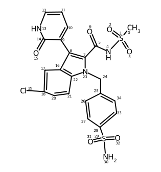 CS(=O)(=O)NC(=O)c1c(-c2ccc[nH]c2=O)c2cc(Cl)ccc2n1Cc1ccc(S(N)(=O)=O)cc1